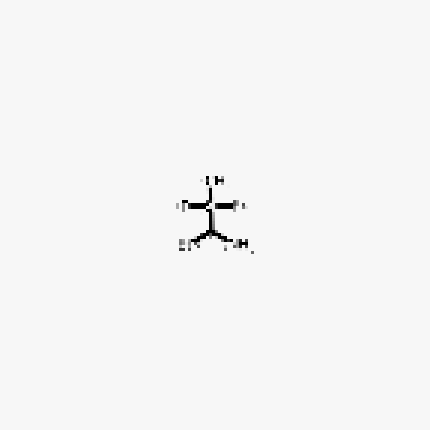 CCC(N)[Si](C)(F)F